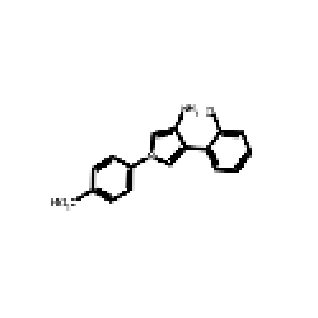 Nc1cn(-c2ccc(C(=O)O)cc2)cc1-c1ccccc1Cl